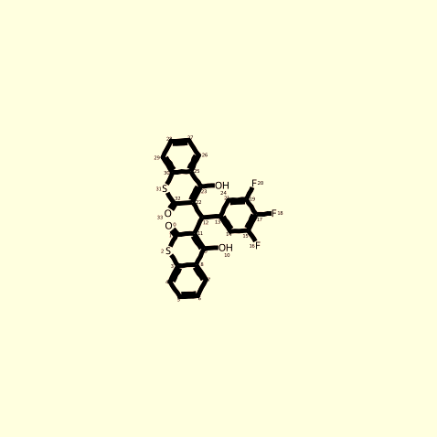 O=c1sc2ccccc2c(O)c1C(c1cc(F)c(F)c(F)c1)c1c(O)c2ccccc2sc1=O